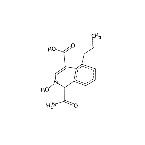 C=CCc1cccc2c1C(C(=O)O)=CN(O)C2C(N)=O